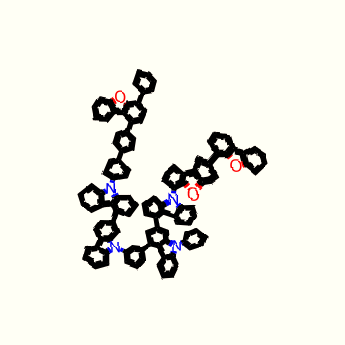 c1ccc(-c2ccc(-c3ccc(-c4ccc(-n5c6ccccc6c6c(-c7ccc8c9ccccc9n(-c9cccc(-c%10cc(-c%11cccc%12c%11c%11ccccc%11n%12-c%11cccc%12c%11oc%11ccc(-c%13cccc%14c%13oc%13ccccc%13%14)cc%11%12)cc%11c%10c%10ccccc%10n%11-c%10ccccc%10)c9)c8c7)cccc65)cc4)cc3)c3c2oc2ccccc23)cc1